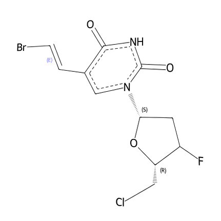 O=c1[nH]c(=O)n([C@@H]2CC(F)[C@H](CCl)O2)cc1/C=C/Br